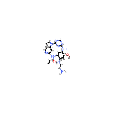 C=CC(=O)Nc1cc(Nc2ncnc(-n3ccc4cnccc43)n2)c(OC)cc1N(C)CCN(C)C